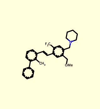 COCc1cc(/C=C/c2cccc(-c3ccccc3)c2C)c(C(F)(F)F)cc1CN1CCCCC1